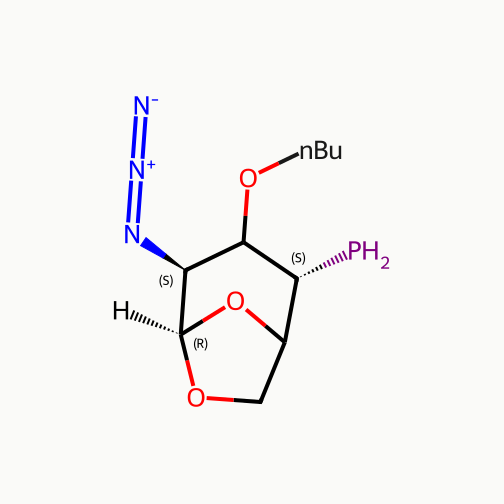 CCCCOC1[C@H](P)C2CO[C@H](O2)[C@H]1N=[N+]=[N-]